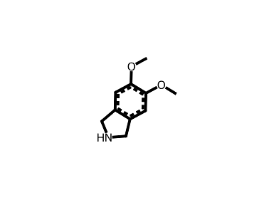 COc1cc2c(cc1OC)CNC2